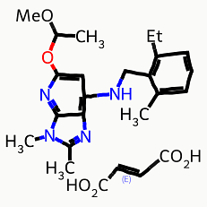 CCc1cccc(C)c1CNc1cc(OC(C)OC)nc2c1nc(C)n2C.O=C(O)/C=C/C(=O)O